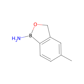 Cc1ccc2c(c1)COB2N